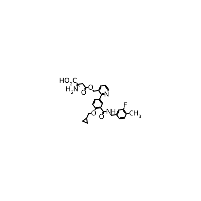 Cc1ccc(CNC(=O)c2cc(-c3ncccc3COC(=O)C[C@@H](N)C(=O)O)ccc2OCC2CC2)cc1F